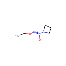 CC(=O)OCO/N=[N+](\[O-])N1CCC1